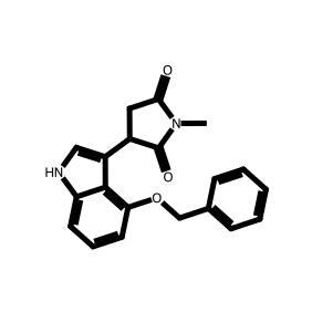 CN1C(=O)CC(c2c[nH]c3cccc(OCc4ccccc4)c23)C1=O